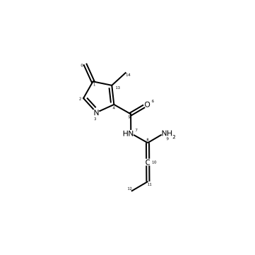 C=C1C=NC(C(=O)NC(N)=C=CC)=C1C